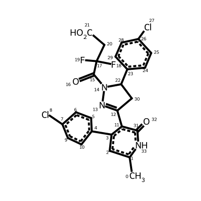 Cc1cc(-c2ccc(Cl)cc2)c(C2=NN(C(=O)C(F)(F)CC(=O)O)C(c3ccc(Cl)cc3)C2)c(=O)[nH]1